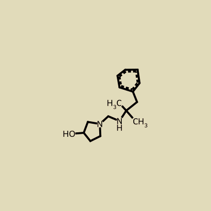 CC(C)(Cc1ccccc1)NCN1CCC(O)C1